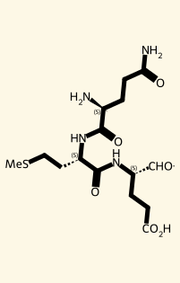 CSCC[C@H](NC(=O)[C@@H](N)CCC(N)=O)C(=O)N[C@H]([C]=O)CCC(=O)O